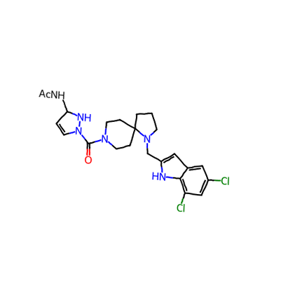 CC(=O)NC1C=CN(C(=O)N2CCC3(CCCN3Cc3cc4cc(Cl)cc(Cl)c4[nH]3)CC2)N1